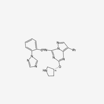 CC(C)c1cnn2c(NCc3ccccc3-n3cncn3)nc(O[C@@H]3CCNC3)nc12